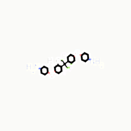 CC(F)C(c1ccc(Oc2ccc(N)cc2)cc1)(c1ccc(Oc2ccc(N)cc2)cc1)C(F)F